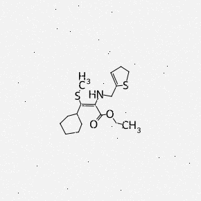 CCOC(=O)/C(NCC1=CCCS1)=C(/SC)C1CCCCC1